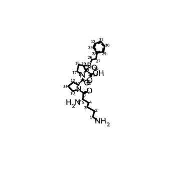 NCCCC[C@H](N)C(=O)N1CCC[C@H]1C(=O)N1CCC2[C@]1(C(=O)O)P2(=O)CCc1ccccc1